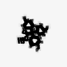 Cc1ccc(C(C(=O)OS)(c2ccc(C)cc2)c2ccc(C)cc2)cc1